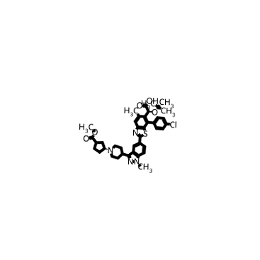 COC(=O)C1CC[C@@H](N2CCC(c3nn(C)c4ccc(-c5nc6cc(C)c([C@H](OC(C)(C)C)C(=O)O)c(-c7ccc(Cl)cc7)c6s5)cc34)CC2)C1